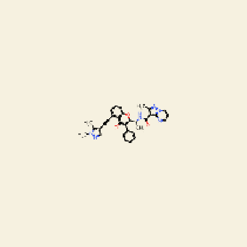 Cc1nn2cccnc2c1C(=O)N[C@@H](C)c1oc2cccc(C#Cc3cnn(C)c3C)c2c(=O)c1-c1ccccc1